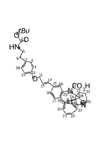 CC(C)(C)OC(=O)NCCc1ccc(OC/C=C/c2ccc(-c3ccccc3)c(N(C(=O)O)[C@H]3CN4CCC3CC4)c2)cc1